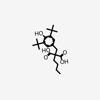 CCCCC(Cc1cc(C(C)(C)C)c(O)c(C(C)(C)C)c1)(C(=O)O)C(=O)O